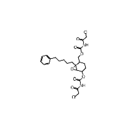 O=C(CCl)NC(=O)OCC1CCC(OC(=O)NC(=O)CCl)C2OC12CCCCCc1ccccc1